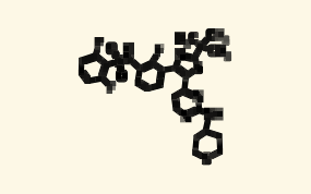 CC(C)(C)c1nc(-c2cccc(NS(=O)(=O)c3c(F)cccc3F)c2F)c(-c2ccnc(NC3CCSCC3)n2)s1